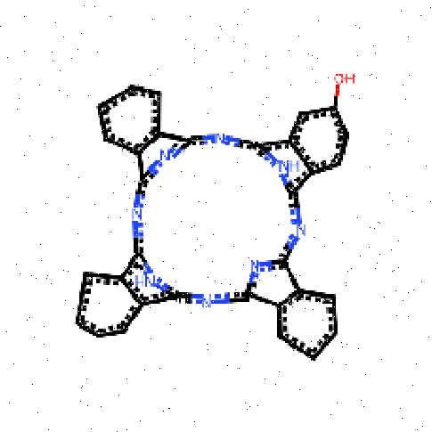 Oc1ccc2c3nc4nc(nc5[nH]c(nc6nc(nc([nH]3)c2c1)-c1ccccc1-6)c1ccccc51)-c1ccccc1-4